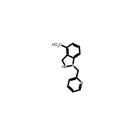 O=C(O)c1cccc2c1CNN2Cc1ccccn1